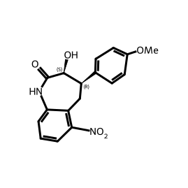 COc1ccc([C@H]2Cc3c(cccc3[N+](=O)[O-])NC(=O)[C@H]2O)cc1